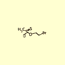 CS(=O)(=S)OCCBr